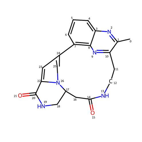 Cc1nc2cccc3c2nc1CCNC(=O)CC1CNC(=O)c2cc-3cn21